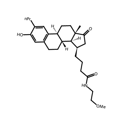 CCCc1cc2c(cc1O)CC[C@H]1[C@@H]3[C@H](CCCC(=O)NCCOC)CC(=O)[C@@]3(C)CC[C@H]21